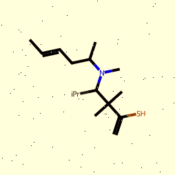 C=C(S)C(C)(C)C(C(C)C)N(C)C(C)CC=CC